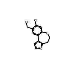 OCc1cc2c(cc1Cl)OCCc1sccc1-2